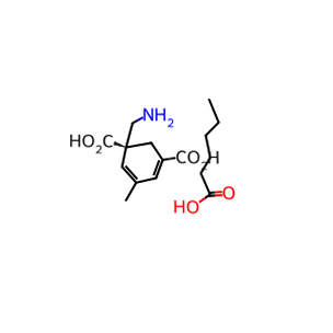 CC1=C[C@@](CN)(C(=O)O)CC(C(=O)O)=C1.CCCCCC(=O)O